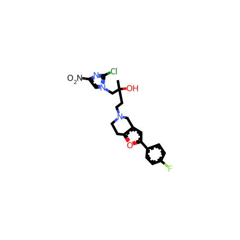 CC(O)(CCN1CCc2oc(-c3ccc(F)cc3)cc2C1)Cn1cc([N+](=O)[O-])nc1Cl